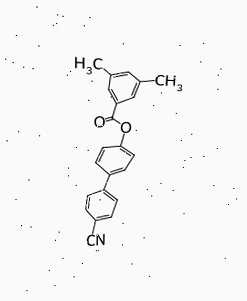 Cc1cc(C)cc(C(=O)Oc2ccc(-c3ccc(C#N)cc3)cc2)c1